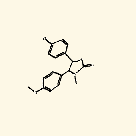 COc1ccc(C2C(c3ccc(Cl)cc3)SC(=O)N2C)cc1